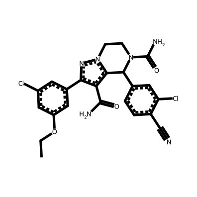 CCOc1cc(Cl)cc(-c2nn3c(c2C(N)=O)C(c2ccc(C#N)c(Cl)c2)N(C(N)=O)CC3)c1